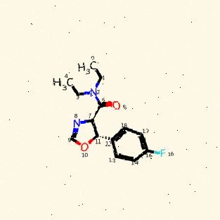 CCN(CC)C(=O)[C@@H]1N=CO[C@H]1c1ccc(F)cc1